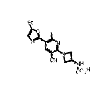 CCc1cnc(-c2cc(C#N)c(N3CC(NC(=O)O)C3)nc2C)o1